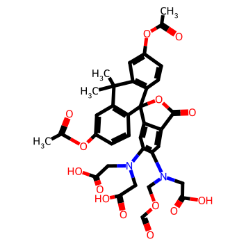 CC(=O)Oc1ccc2c(c1)C(C)(C)c1cc(OC(C)=O)ccc1C21OC(=O)c2cc(N(COC=O)CC(=O)O)c(N(CC(=O)O)CC(=O)O)cc21